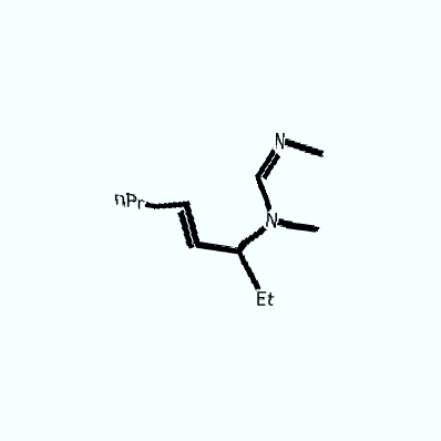 CCC/C=C/C(CC)N(C)/C=N\C